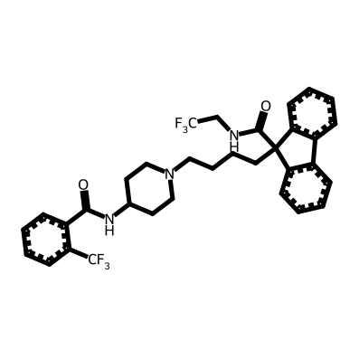 O=C(NC1CCN(CCCCC2(C(=O)NCC(F)(F)F)c3ccccc3-c3ccccc32)CC1)c1ccccc1C(F)(F)F